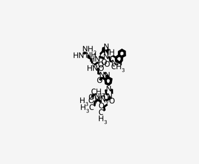 CCCC[C@H](NC(=O)[C@@H](NC(C)=O)[C@@H](C)CC)C(=O)N1CCN(c2ccc3ncn(CC(=O)N[C@@H](CCCNC(=N)N)C(=O)N[C@@H](Cc4cnc[nH]4)C(=O)N[C@@H](Cc4cccc5ccccc45)C(=O)NC)c(=O)c3c2)CC1